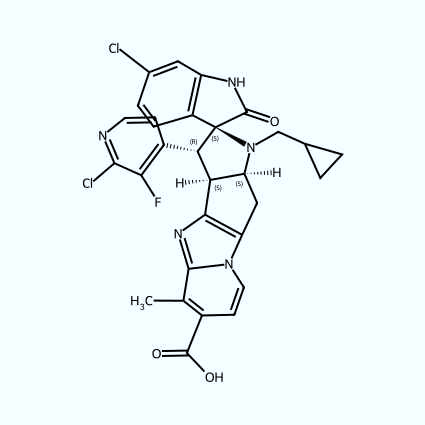 Cc1c(C(=O)O)ccn2c3c(nc12)[C@@H]1[C@H](C3)N(CC2CC2)[C@@]2(C(=O)Nc3cc(Cl)ccc32)[C@H]1c1ccnc(Cl)c1F